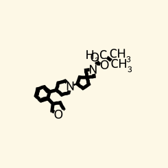 CC(C)(C)OC(=O)N1CC2(CC[C@@H](N3CCC(c4ccccc4C4CCOC4)CC3)C2)C1